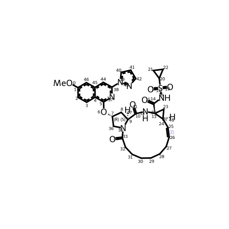 COc1ccc2c(O[C@@H]3C[C@H]4C(=O)N[C@]5(C(=O)NS(=O)(=O)C6CC6)C[C@H]5/C=C\CCCCCCC(=O)N4C3)nc(-n3cccn3)cc2c1